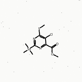 COC(=O)c1n[c]([Sn]([CH3])([CH3])[CH3])nc(SC)c1Cl